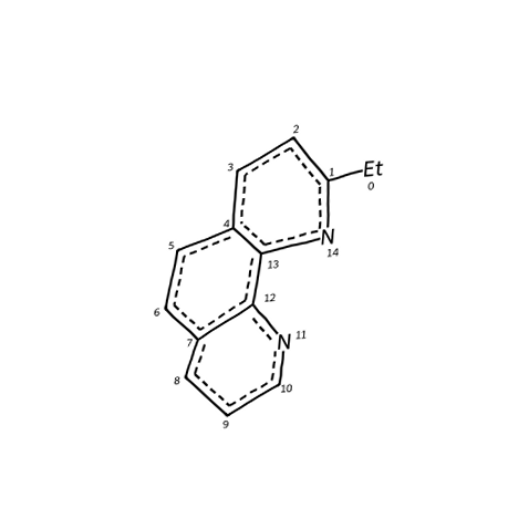 CCc1ccc2ccc3cccnc3c2n1